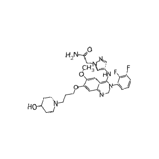 COc1cc2c(cc1OCCCN1CCC(O)CC1)=NCN(c1cccc(F)c1F)C=2Nc1cnn(CC(N)=O)c1